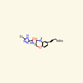 CCc1nnc(C(=O)N[C@H]2COc3ccc(C#CCNC)cc3N(C)C2=O)[nH]1